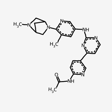 CC(=O)Nc1ccc(-c2ccnc(Nc3cnc(N4CC5CC4CN5C)c(C)c3)n2)cn1